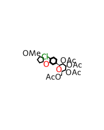 COC1CCC(Oc2cc([C@@H]3O[C@H](COC(C)=O)[C@@H](OC(C)=O)[C@H](OC(C)=O)[C@H]3OC(C)=O)ccc2Cl)C1